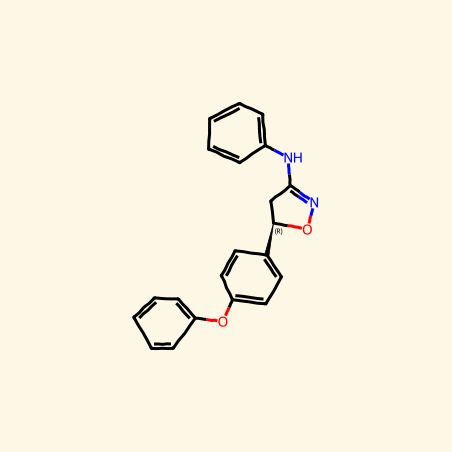 c1ccc(NC2=NO[C@@H](c3ccc(Oc4ccccc4)cc3)C2)cc1